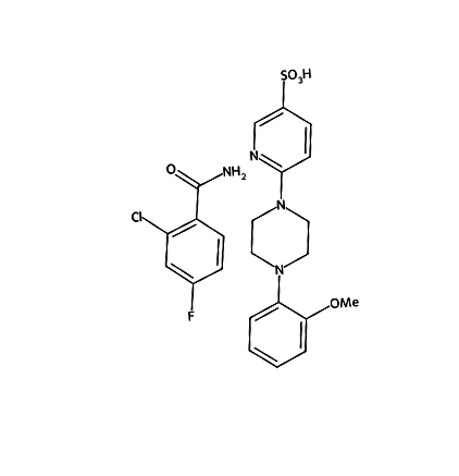 COc1ccccc1N1CCN(c2ccc(S(=O)(=O)O)cn2)CC1.NC(=O)c1ccc(F)cc1Cl